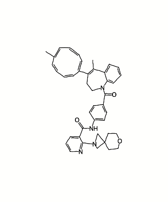 CC1=C(c2ccccc(C)cccc2)CCN(C(=O)c2ccc(NC(=O)c3cccnc3N3CC4(CCOCC4)C3)cc2)c2ccccc21